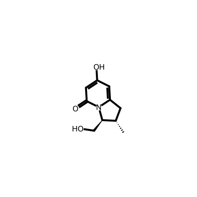 C[C@H]1Cc2cc(O)cc(=O)n2[C@@H]1CO